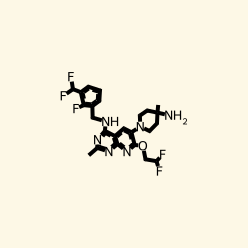 Cc1nc(NCc2cccc(C(F)F)c2F)c2cc(N3CCC(C)(N)CC3)c(OCC(F)F)nc2n1